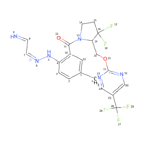 Cc1ccc(N/N=C\C=N)c(C(=O)N2CCC(F)(F)C2COc2ncc(C(F)(F)F)cn2)c1